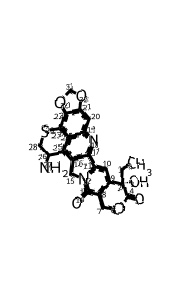 CC[C@@]1(O)C(=O)OCc2c1cc1n(c2=O)Cc2c-1nc1cc3c(c4c1c2C(N)CS4)OCO3